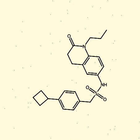 CCCN1C(=O)CCc2cc(NS(=O)(=O)Cc3ccc(C4CCC4)cc3)ccc21